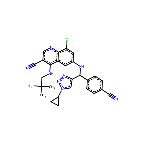 CC(C)(C)CNc1c(C#N)cnc2c(Cl)cc(NC(c3ccc(C#N)cc3)c3cn(C4CC4)nn3)cc12